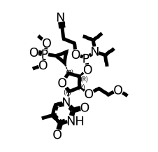 COCCO[C@@H]1[C@H](OP(OCCC#N)N(C(C)C)C(C)C)[C@@H](C2CC2P(=O)(OC)OC)O[C@H]1n1cc(C)c(=O)[nH]c1=O